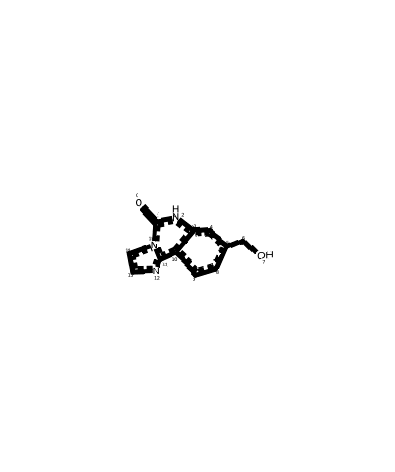 O=c1[nH]c2cc(CO)ccc2c2nccn12